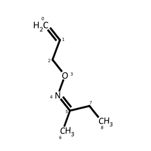 C=CCON=C(C)CC